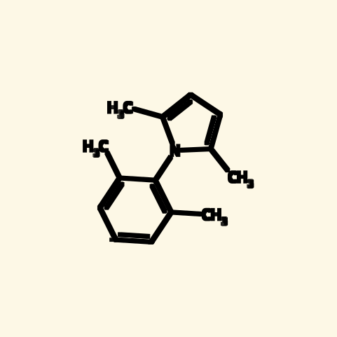 Cc1c[c]cc(C)c1-n1c(C)ccc1C